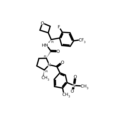 Cc1ccc(C(=O)N2[C@H](C)CC[C@@H]2C(=O)N[C@@H](c2ccc(C(F)(F)F)cc2F)C2COC2)cc1S(C)(=O)=O